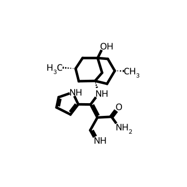 C[C@@H]1CC2(O)C[C@H](C)C[C@@](N/C(=C(/C=N)C(N)=O)c3ccc[nH]3)(C1)C2